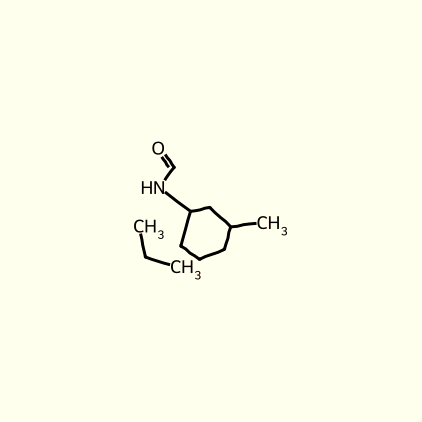 CC1CCCC(NC=O)C1.CCC